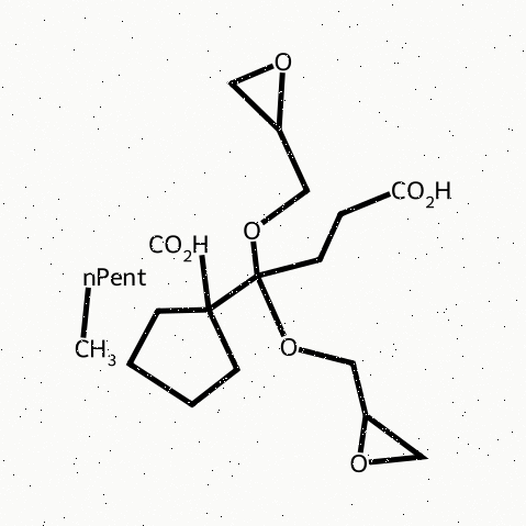 CCCCCC.O=C(O)CCC(OCC1CO1)(OCC1CO1)C1(C(=O)O)CCCC1